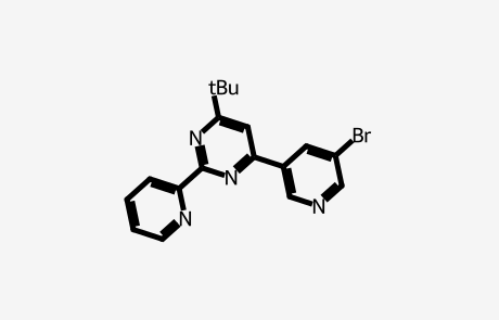 CC(C)(C)c1cc(-c2cncc(Br)c2)nc(-c2ccccn2)n1